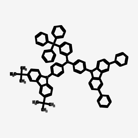 CC(C)(C)c1ccc2c(c1)c1cc(C(C)(C)C)ccc1n2-c1ccc(N(c2ccc(-n3c4ccc(-c5ccccc5)cc4c4cc(-c5ccccc5)ccc43)cc2)c2cccc([Si](c3ccccc3)(c3ccccc3)c3ccccc3)c2)cc1